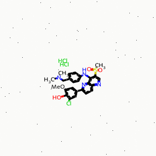 COc1cc(-c2ccc3ncc(S(C)(=O)=O)c(Nc4ccc(CN(C)C)cc4)c3n2)cc(Cl)c1O.Cl.Cl